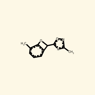 Cc1noc(C2Oc3c(C)cccc32)n1